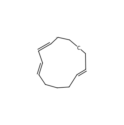 [CH]1/C=C/C=C/CCC/C=C/CCC1